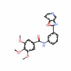 COc1cc(C(=O)Nc2cccc(-c3nc4cnccc4o3)c2)cc(OC)c1OC